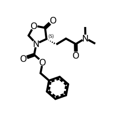 CN(C)C(=O)CC[C@H]1C(=O)OCN1C(=O)OCc1ccccc1